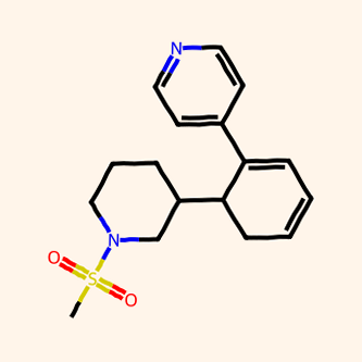 CS(=O)(=O)N1CCCC(C2CC=CC=C2c2ccncc2)C1